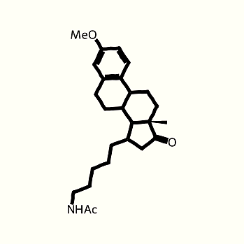 COc1ccc2c(c1)CCC1C2CC[C@]2(C)C(=O)CC(CCCCCNC(C)=O)C12